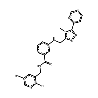 Cn1c(CNc2cccc(C(=O)NCc3cc(Br)cnc3O)c2)nnc1-c1ccncn1